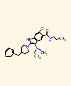 CCCNC(=O)c1cc2c(N(CC)CC)c(N3CCC(Cc4ccccc4)CC3)[nH]c2cc1Cl